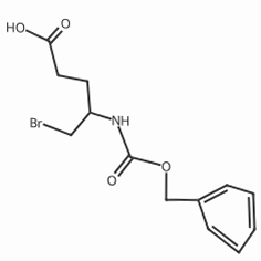 O=C(O)CCC(CBr)NC(=O)OCc1ccccc1